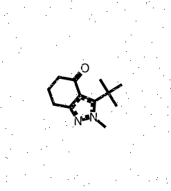 Cn1nc2c(c1C(C)(C)C)C(=O)CCC2